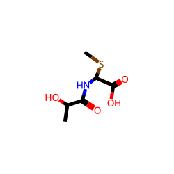 CSC(NC(=O)C(C)O)C(=O)O